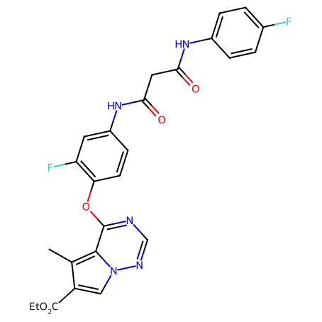 CCOC(=O)c1cn2ncnc(Oc3ccc(NC(=O)CC(=O)Nc4ccc(F)cc4)cc3F)c2c1C